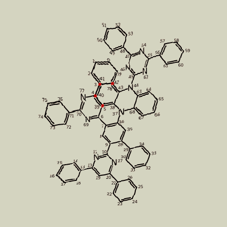 c1ccc(-c2cc(-c3cc(-c4nc(-c5ccccc5)cc(-c5ccccc5)n4)c(-c4ccccc4)cc3N3c4ccccc4N(c4nc(-c5ccccc5)nc(-c5ccccc5)n4)c4ccccc43)nc(-c3ccccc3)n2)cc1